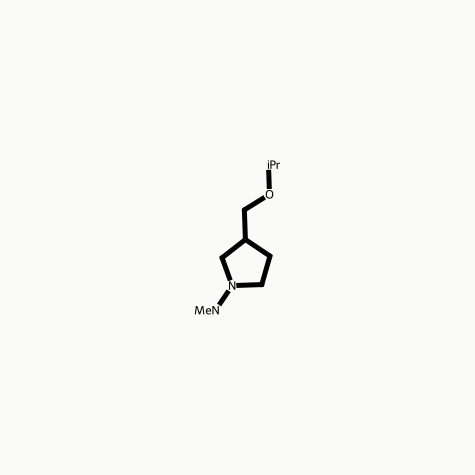 CNN1CCC(COC(C)C)C1